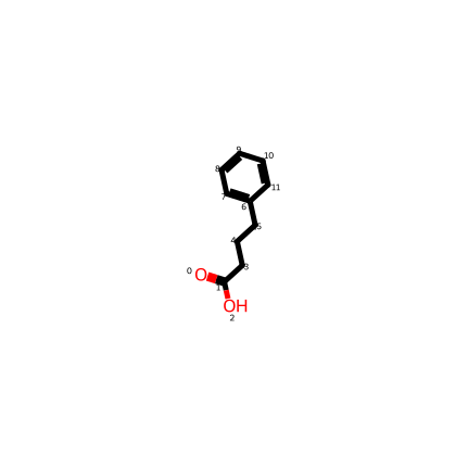 O=C(O)CC[CH]c1ccccc1